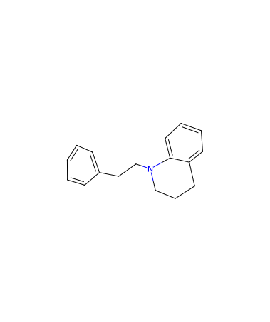 c1ccc(CCN2CCCc3ccccc32)cc1